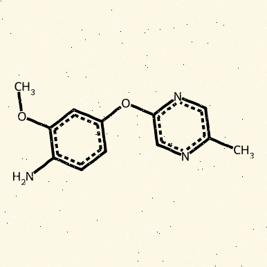 COc1cc(Oc2cnc(C)cn2)ccc1N